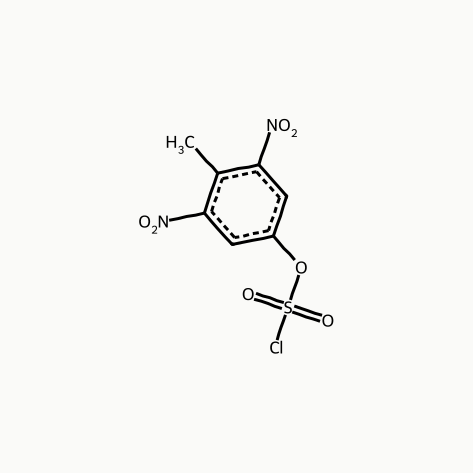 Cc1c([N+](=O)[O-])cc(OS(=O)(=O)Cl)cc1[N+](=O)[O-]